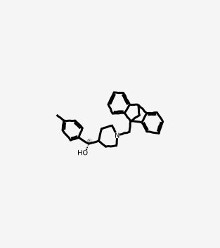 Cc1ccc([C@@H](O)C2CCN(CC34CC(c5ccccc53)c3ccccc34)CC2)cc1